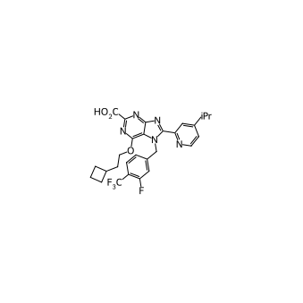 CC(C)c1ccnc(-c2nc3nc(C(=O)O)nc(OCCC4CCC4)c3n2Cc2ccc(C(F)(F)F)c(F)c2)c1